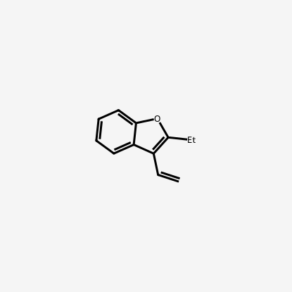 C=Cc1c(CC)oc2ccccc12